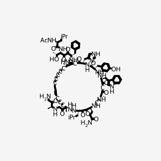 CC(=O)N[C@@H](CC(C)C)C(=O)N[C@H](C(=O)C(=O)[C@H](Cc1ccccc1)NN[C@]1(C)CCCCCC/C=C/CCC[C@@](C)(C(=O)CN[C@@H](C)C(=O)CN)NN[C@@H](CC(C)C)C(=O)C(=O)[C@H](CCC(N)=O)NCN[C@@H](C)C(=O)CC(=O)[C@H](Cc2c[nH]c3ccccc23)NN[C@@H](Cc2ccc(O)cc2)C(=O)N[C@@H](Cc2c[nH]cn2)C(=O)CC1=O)[C@@H](C)O